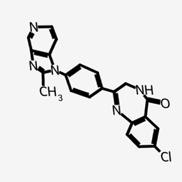 Cc1nc2cnccc2n1-c1ccc(C2=Nc3ccc(Cl)cc3C(=O)NC2)cc1